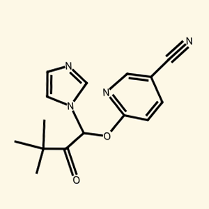 CC(C)(C)C(=O)C(Oc1ccc(C#N)cn1)n1ccnc1